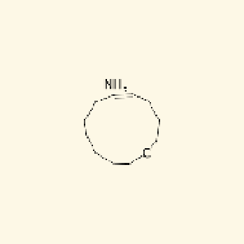 C1=CCCCCCCCCCC1.N